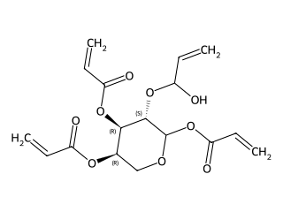 C=CC(=O)OC1OC[C@@H](OC(=O)C=C)[C@@H](OC(=O)C=C)[C@@H]1OC(O)C=C